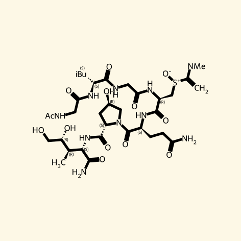 C=C(NC)[S+]([O-])C[C@H](NC(=O)CNC(=O)[C@@H](NC(=O)CNC(C)=O)[C@@H](C)CC)C(=O)N[C@@H](CCC(N)=O)C(=O)N1C[C@H](O)C[C@H]1C(=O)N[C@H](C(N)=O)[C@@H](C)[C@@H](O)CO